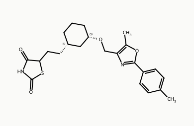 Cc1ccc(-c2nc(CO[C@H]3CCC[C@@H](CCC4SC(=O)NC4=O)C3)c(C)o2)cc1